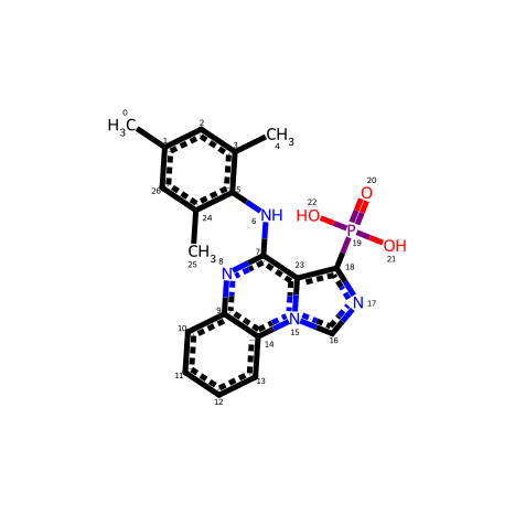 Cc1cc(C)c(Nc2nc3ccccc3n3cnc(P(=O)(O)O)c23)c(C)c1